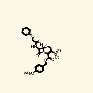 CCN(CC)C1=C(C(=O)OCc2ccc(OC)cc2)N2C(=O)C(NC(=O)COc3ccccc3)[C@@H]2SC1